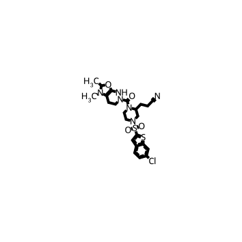 CC1OC2=C(CCN(C(=O)N3CCN(S(=O)(=O)c4cc5ccc(Cl)cc5s4)CC3CCC#N)N2)N1C